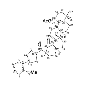 COc1ccccc1N1CCN(C(=O)C2(C)CC[C@]3(C)CC[C@]4(C)C(=CCC5[C@]6(C)C(CC[C@]54C)C(C)(C)CC[C@H]6OC(C)=O)[C@@H]3C2)CC1